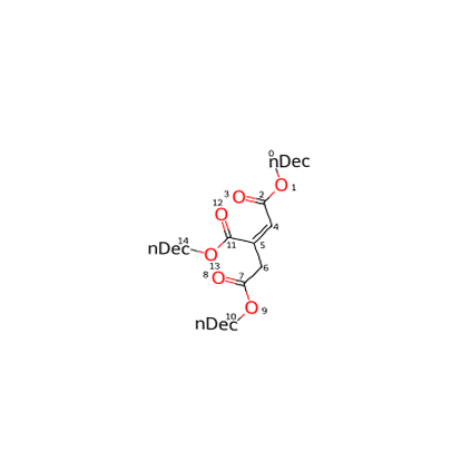 CCCCCCCCCCOC(=O)/C=C(/CC(=O)OCCCCCCCCCC)C(=O)OCCCCCCCCCC